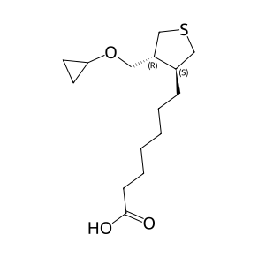 O=C(O)CCCCCC[C@@H]1CSC[C@H]1COC1CC1